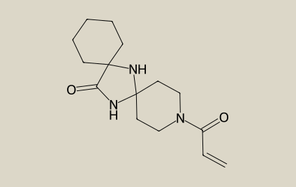 C=CC(=O)N1CCC2(CC1)NC(=O)C1(CCCCC1)N2